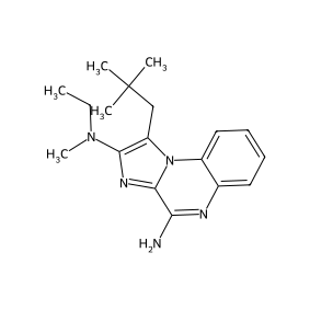 CCN(C)c1nc2c(N)nc3ccccc3n2c1CC(C)(C)C